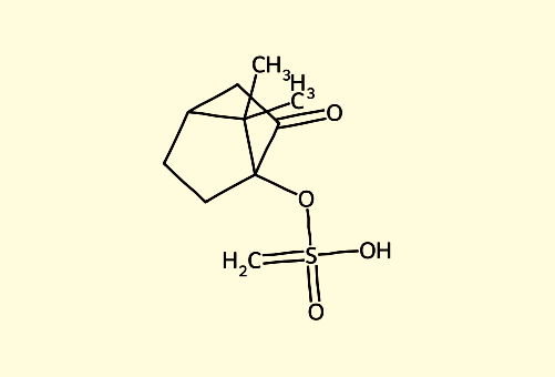 C=S(=O)(O)OC12CCC(CC1=O)C2(C)C